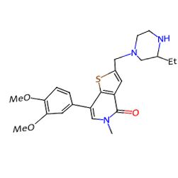 CCC1CN(Cc2cc3c(=O)n(C)cc(-c4ccc(OC)c(OC)c4)c3s2)CCN1